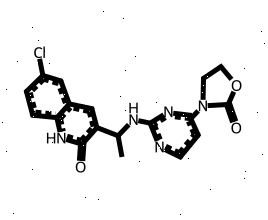 CC(Nc1nccc(N2CCOC2=O)n1)c1cc2cc(Cl)ccc2[nH]c1=O